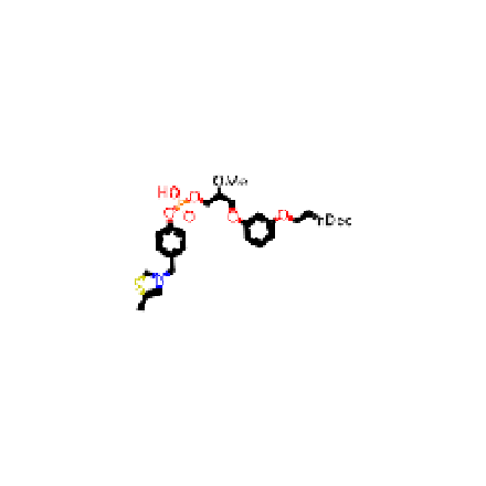 CCCCCCCCCCCCOc1cccc(OCC(COP(=O)(O)Oc2ccc(CN3C=C(C)SC3)cc2)OC)c1